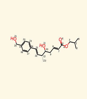 CC(C)COC(=O)/C=C/C[C@H](O)[C@H](C)/C=C/c1ccc(CO)cc1